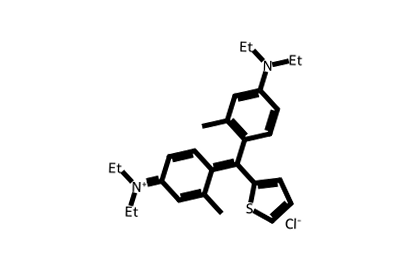 CCN(CC)c1ccc(C(=C2C=CC(=[N+](CC)CC)C=C2C)c2cccs2)c(C)c1.[Cl-]